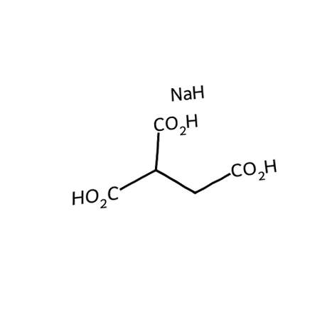 O=C(O)CC(C(=O)O)C(=O)O.[NaH]